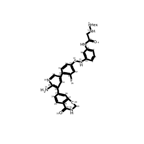 CCCCCCNCC(=O)Nc1cccc(NSc2ccc(-c3cnc(N)c(-c4ccc5c(c4)CCNC5=O)c3)c(F)c2)c1